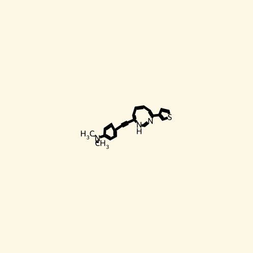 CN(C)c1ccc(C#Cc2ccccc(-c3ccsc3)nc[nH]2)cc1